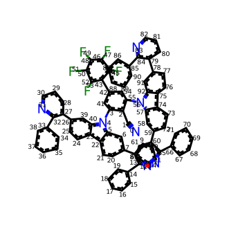 N#Cc1c(-n2c3cc(-c4cccnc4-c4ccccc4)ccc3c3ccc(-c4cccnc4-c4ccccc4)cc32)cc(-c2c(F)c(F)c(F)c(F)c2F)cc1-n1c2cc(-c3cccnc3-c3ccccc3)ccc2c2ccc(-c3cccnc3-c3ccccc3)cc21